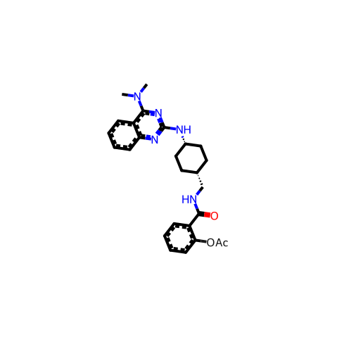 CC(=O)Oc1ccccc1C(=O)NC[C@H]1CC[C@@H](Nc2nc(N(C)C)c3ccccc3n2)CC1